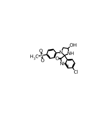 CS(=O)(=O)c1ccc(N2CC(O)NC2(C(N)=O)c2ccc(Cl)cc2)cc1